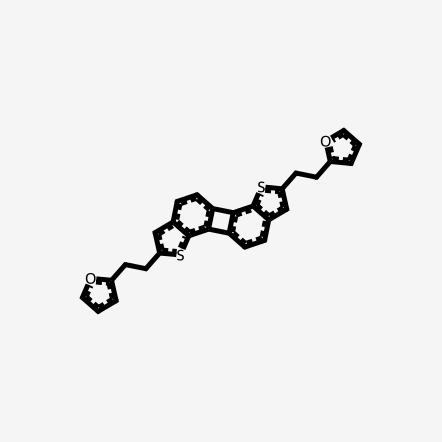 c1coc(CCc2cc3ccc4c(c3s2)-c2ccc3cc(CCc5ccco5)sc3c2-4)c1